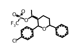 CC(OS(=O)(=O)C(F)(F)F)=C1CCC(c2ccccc2)OC1c1ccc(Cl)cc1